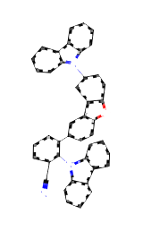 N#Cc1cccc(-c2ccc3oc4ccc(-n5c6ccccc6c6ccccc65)cc4c3c2)c1-n1c2ccccc2c2ccccc21